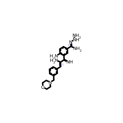 N=C(/C(N)=C/c1cccc(CN2CCOCC2)c1)c1cc(/C(N)=N/NN)ccc1N